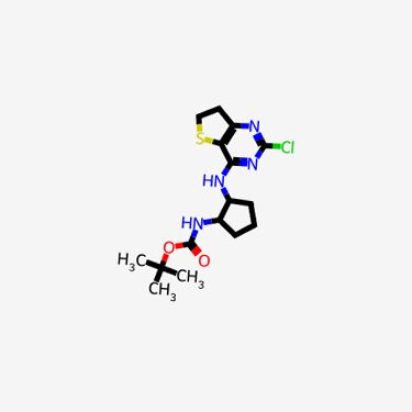 CC(C)(C)OC(=O)NC1CCCC1Nc1nc(Cl)nc2c1SCC2